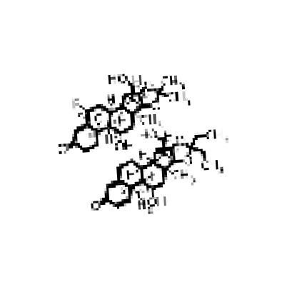 CC1(C)O[C@@H]2C[C@H]3[C@@H]4C[C@H](F)C5=CC(=O)CC[C@]5(C)[C@H]4[C@@H](O)C[C@]3(C)[C@]2(C(=O)CO)O1.CCC1(CC)O[C@@H]2C[C@H]3[C@@H]4CCC5=CC(=O)C=C[C@]5(C)[C@@]4(F)[C@@H](O)C[C@]3(C)[C@]2(C(=O)CO)O1